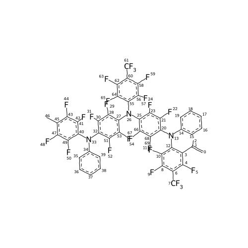 C=C(C)c1c(F)c(C(F)(F)F)c(F)c(F)c1N(c1ccccc1)c1c(F)c(F)c(N(c2c(F)c(F)c(N(c3ccccc3)c3c(F)c(F)c(C)c(F)c3F)c(F)c2F)c2c(F)c(F)c(C(F)(F)F)c(F)c2F)c(F)c1F